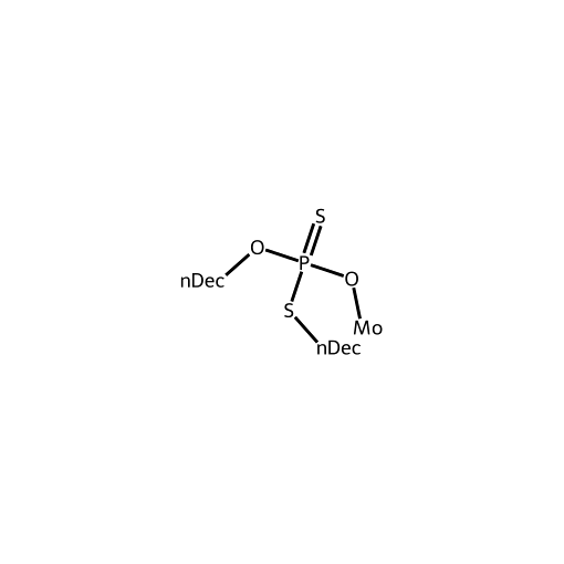 CCCCCCCCCCOP(=S)([O][Mo])SCCCCCCCCCC